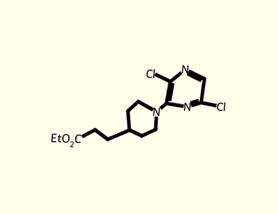 CCOC(=O)CCC1CCN(c2nc(Cl)cnc2Cl)CC1